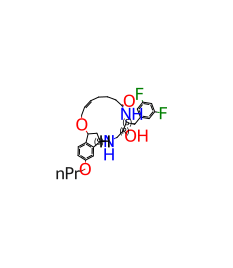 CCCOc1ccc2c(c1)[C@@H]1CC2OCC=CCCCC(=O)N[C@@H](Cc2cc(F)cc(F)c2)[C@H](O)CN1